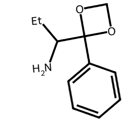 CCC(N)C1(c2ccccc2)OCO1